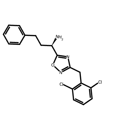 N[C@H](CCc1ccccc1)c1nc(Cc2c(Cl)cccc2Cl)no1